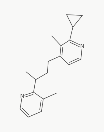 Cc1cccnc1C(C)CCc1ccnc(C2CC2)c1C